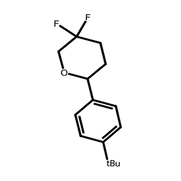 CC(C)(C)c1ccc(C2CCC(F)(F)CO2)cc1